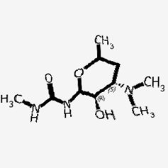 CNC(=O)NC1OC(C)C[C@H](N(C)C)[C@H]1O